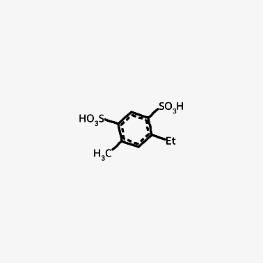 CCc1cc(C)c(S(=O)(=O)O)cc1S(=O)(=O)O